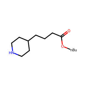 CCCCOC(=O)CCCC1CCNCC1